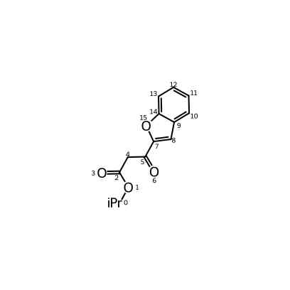 CC(C)OC(=O)CC(=O)c1cc2ccccc2o1